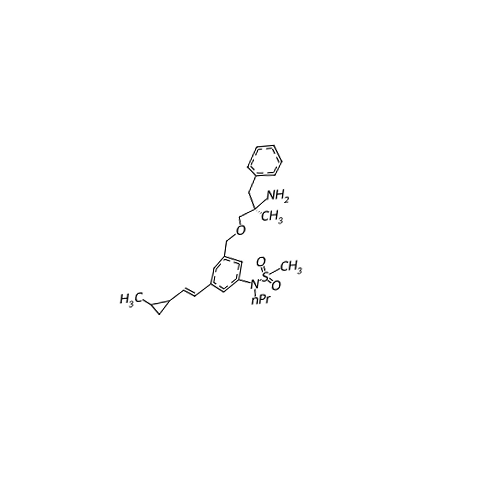 CCCN(c1cc(C=CC2CC2C)cc(COC[C@](C)(N)Cc2ccccc2)c1)S(C)(=O)=O